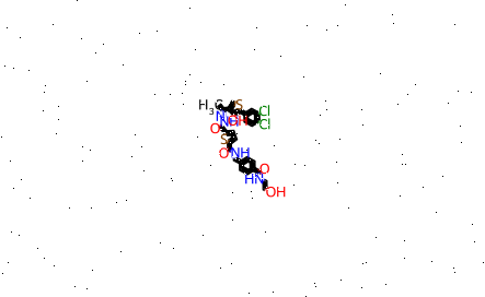 C/C(=N/NC(=O)c1ccc(C(=O)NCc2ccc(C(=O)NCCO)cc2)s1)c1csc(-c2ccc(Cl)c(Cl)c2)c1O